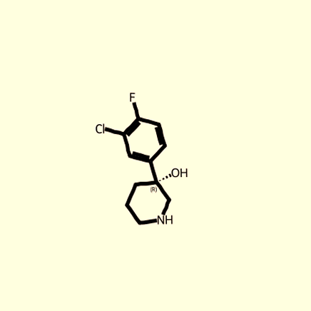 O[C@@]1(c2ccc(F)c(Cl)c2)CCCNC1